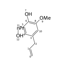 C=CCc1ccc(O)c(OC)c1.CCCO